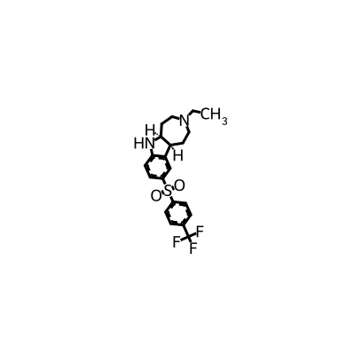 CCN1CC[C@@H]2Nc3ccc(S(=O)(=O)c4ccc(C(F)(F)F)cc4)cc3[C@@H]2CC1